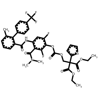 CCOC(=O)C(COC(=O)Oc1c(F)cc(NC(=O)c2cccc(C)c2-c2ccc(C(F)(F)F)cc2)c(C(=O)N(C)C)c1F)(C(=O)OCC)c1cccs1